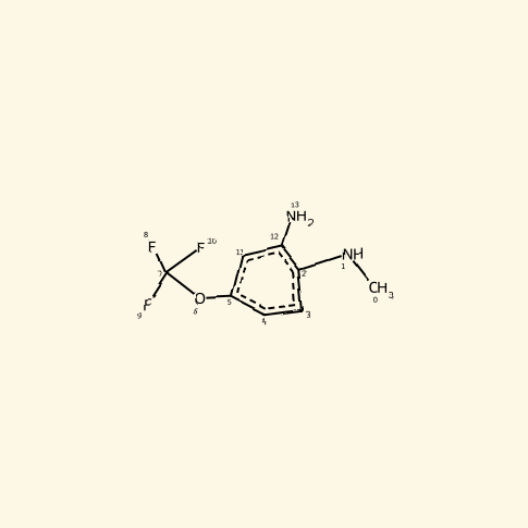 CNc1ccc(OC(F)(F)F)cc1N